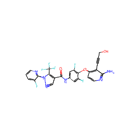 Nc1nccc(Oc2c(F)cc(NC(=O)c3cnn(-c4ncccc4F)c3C(F)(F)F)cc2F)c1C#CCO